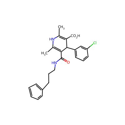 CC1=C(C(=O)O)C(c2cccc(Cl)c2)C(C(=O)NCCCc2ccccc2)=C(C)N1